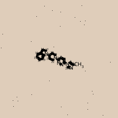 Cc1cn(-c2ccc(N3CCC(N4CCc5ccccc54)CC3)nn2)cn1